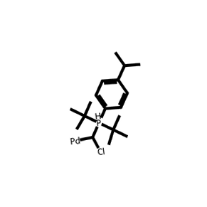 CC(C)c1ccc([PH]([CH](Cl)[Pd])(C(C)(C)C)C(C)(C)C)cc1